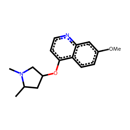 COc1ccc2c(OC3CC(C)N(C)C3)ccnc2c1